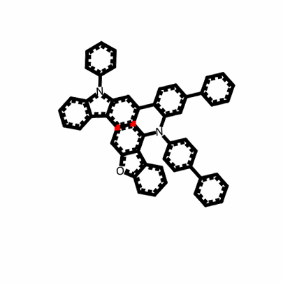 c1ccc(-c2ccc(N(c3cc(-c4ccccc4)ccc3-c3ccc4c5ccccc5n(-c5ccccc5)c4c3)c3cccc4oc5ccccc5c34)cc2)cc1